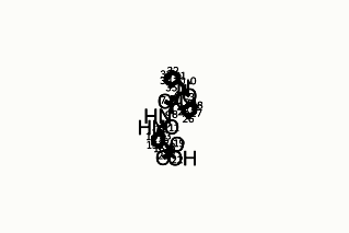 CN(C(=O)CN(C(=O)CNC(=O)Nc1cccc(C(=O)C(=O)O)c1)c1ccccc1)c1ccccc1